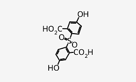 O=C(O)c1cc(O)ccc1S(=O)(=O)c1ccc(O)cc1C(=O)O